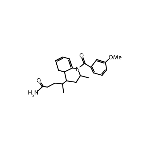 COc1cccc(C(=O)N2C3=CC=CCC3C(C(C)CCC(N)=O)CC2C)c1